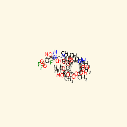 CC[C@H]1OC(=O)[C@H](C)C([C@H]2C[C@@](C)(OC)[C@@H](O)[C@H](C)O2)[C@H](C)[C@@H](O[C@@H]2O[C@H](C)C[C@H](N(C)CCC(=O)N[C@H](CF)[C@H](O)c3ccc(S(=O)(=O)C(F)F)cc3)[C@H]2O)[C@](C)(OC)C[C@@H](C)C(=N)[C@H](C)[C@@H](O)[C@]1(C)O